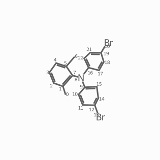 Cc1cccc(C)c1N(c1ccc(Br)cc1)c1ccc(Br)cc1